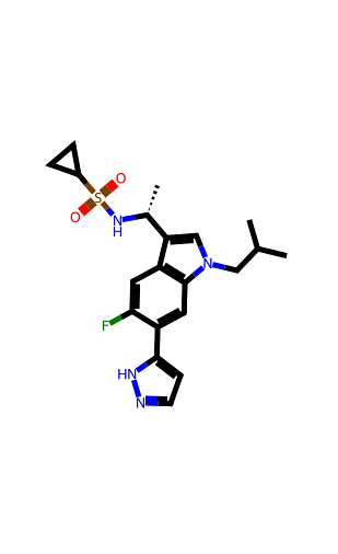 CC(C)Cn1cc([C@@H](C)NS(=O)(=O)C2CC2)c2cc(F)c(-c3ccn[nH]3)cc21